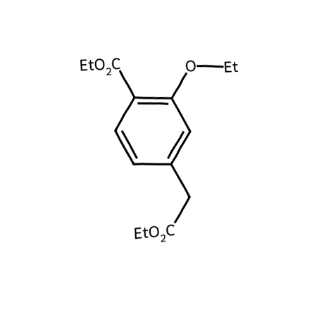 CCOC(=O)Cc1ccc(C(=O)OCC)c(OCC)c1